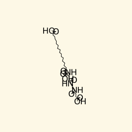 O=C(O)CCCCCCCCCCCCCCCCC(=O)N[C@@H](CCC(=O)NCCNC(=O)CCC(=O)O)C(=O)O